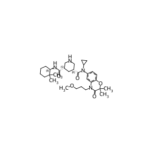 COCCCN1C(=O)C(C)(C)Oc2ccc(N(C(=O)[C@H]3CNC[C@@H](C(=O)N[C@@H]4CCCCC4(C)C)C3)C3CC3)cc21